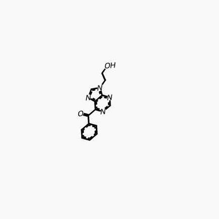 O=C(c1ccccc1)c1ncnc2c1ncn2CCO